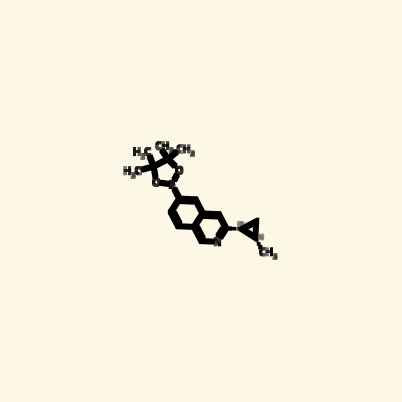 C[C@H]1C[C@H]1c1cc2cc(B3OC(C)(C)C(C)(C)O3)ccc2cn1